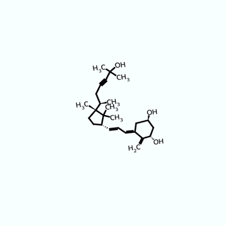 C=C1C(=CC=C[C@@H]2CC[C@](C)([C@H](C)CC#CC(C)(C)O)C2(C)C)C[C@@H](O)C[C@@H]1O